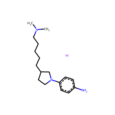 CN(C)CCCCCC1CCN(c2ccc(N)cc2)C1.I